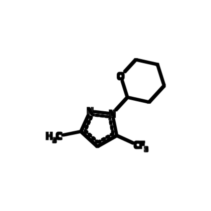 Cc1cc(C(F)(F)F)n(C2CCCCO2)n1